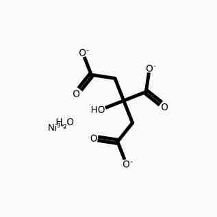 O.O=C([O-])CC(O)(CC(=O)[O-])C(=O)[O-].[Ni+3]